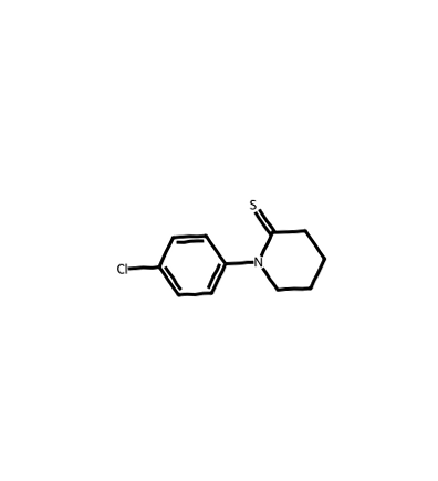 S=C1CCCCN1c1ccc(Cl)cc1